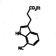 CCOC(=O)CCc1c[nH]c2c(C#N)cccc12